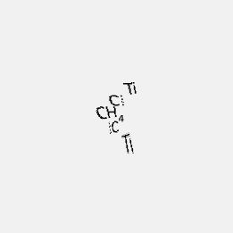 C.[C].[C].[Ti].[Ti]